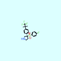 CC(C)(c1ccc([C@]2(S(=O)(=O)c3ccc(F)cc3)CCNC2)cc1)C(F)(F)F